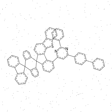 c1ccc(-c2ccc(-c3cc(-c4cccc5c4-c4c(ccc6c4sc4ccccc46)C54c5ccccc5C5(c6ccccc6-c6ccccc65)c5ccccc54)nc(-c4ccccc4)n3)cc2)cc1